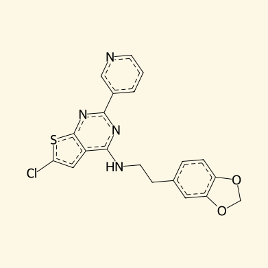 Clc1cc2c(NCCc3ccc4c(c3)OCO4)nc(-c3cccnc3)nc2s1